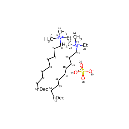 CCCCCCCCCCCCCCCCCC[N+](C)(C)CC.CCCCCCCCCCCCCCCCCC[N+](C)(C)CC.O=S(=O)([O-])[O-]